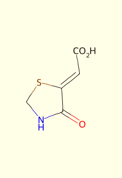 O=C(O)/C=C1\SCNC1=O